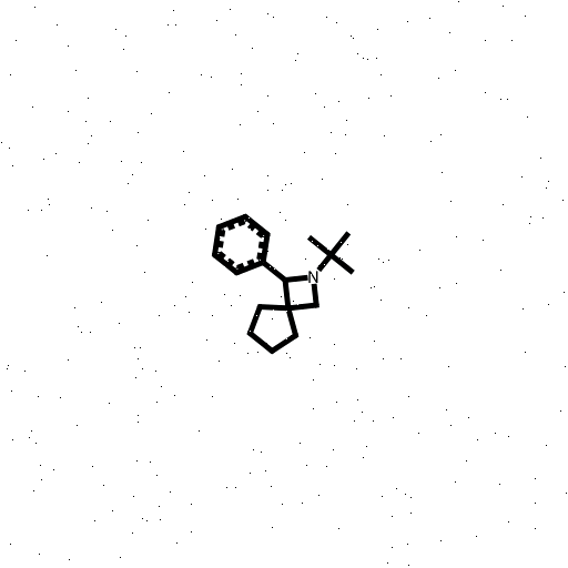 CC(C)(C)N1CC2(CCCC2)C1c1ccccc1